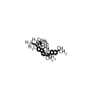 CCCC(C)(B1OC(C)(C)C(C)(C)O1)c1ccc2c(c1)C(C)(C)c1cc(C(C)C(C)(C)c3ccc4cc(C(C)C)ccc4c3)ccc1-2